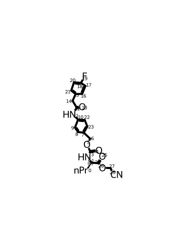 CCC[C@@H](NC(=O)OCc1ccc(NC(=O)Cc2ccc(F)cc2)cc1)C(=O)OCC#N